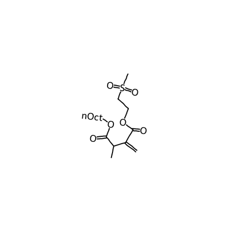 C=C(C(=O)OCCS(C)(=O)=O)C(C)C(=O)OCCCCCCCC